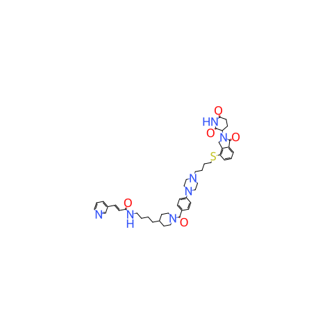 O=C(/C=C/c1cccnc1)NCCCCC1CCN(C(=O)c2ccc(N3CCN(CCCCSc4cccc5c4CN(C4CCC(=O)NC4=O)C5=O)CC3)cc2)CC1